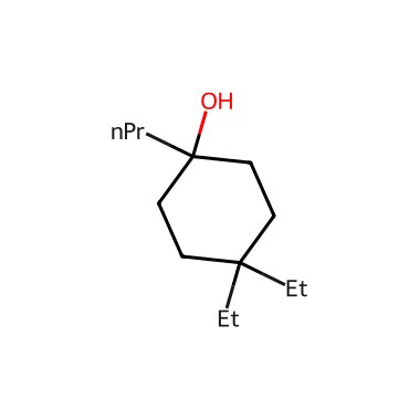 CCCC1(O)CCC(CC)(CC)CC1